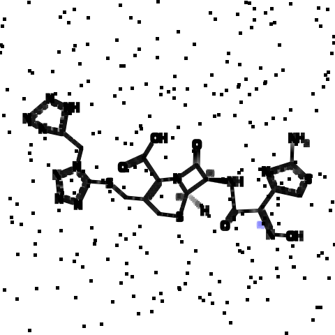 Nc1nc(/C(=N\O)C(=O)N[C@@H]2C(=O)N3C(C(=O)O)=C(CSc4nnnn4Cc4nnn[nH]4)CS[C@H]23)cs1